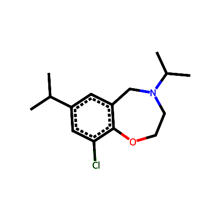 CC(C)c1cc(Cl)c2c(c1)CN(C(C)C)CCO2